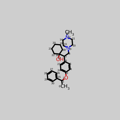 CC(Oc1ccc(C(CN2CCN(C)CC2)C2(O)CCCCC2)cc1)c1ccccc1